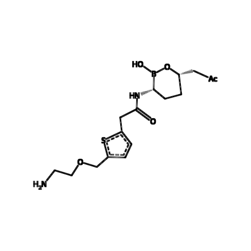 CC(=O)C[C@@H]1CC[C@H](NC(=O)Cc2ccc(COCCN)s2)B(O)O1